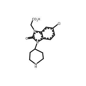 O=C(O)Cn1c(=O)n(C2CCNCC2)c2ccc(Cl)cc21